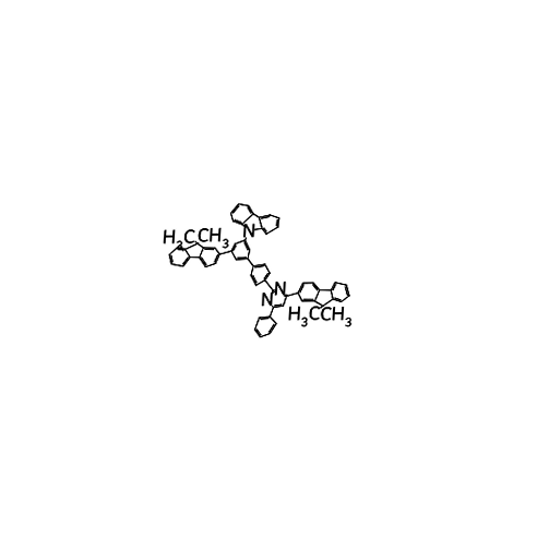 CC1(C)c2ccccc2-c2ccc(-c3cc(-c4ccc(-c5nc(-c6ccccc6)cc(-c6ccc7c(c6)C(C)(C)c6ccccc6-7)n5)cc4)cc(-n4c5ccccc5c5ccccc54)c3)cc21